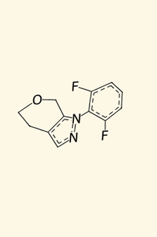 Fc1cccc(F)c1-n1ncc2c1COCC2